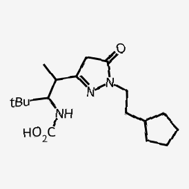 CC(C1=NN(CCC2CCCC2)C(=O)C1)C(NC(=O)O)C(C)(C)C